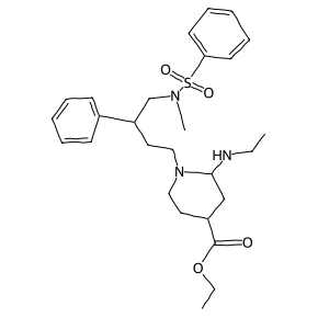 CCNC1CC(C(=O)OCC)CCN1CCC(CN(C)S(=O)(=O)c1ccccc1)c1ccccc1